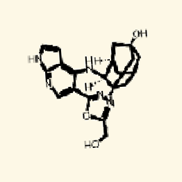 OCc1nnc(-c2cnc3[nH]ccc3c2N[C@H]2[C@@H]3CC4C[C@H]2C[C@@](O)(C4)C3)o1